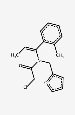 CC=C(c1ccccc1C)N(Cc1ccco1)C(=O)CCl